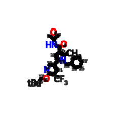 Cc1c(C(=O)NC2COC2)cc(-c2cnc(OCC(C)(C)C)c(C(F)(F)F)c2)n1CC1CCCCC1